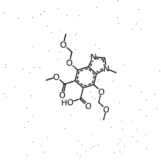 COCOc1c(C(=O)OC)c(C(=O)O)c(OCOC)c2c1ncn2C